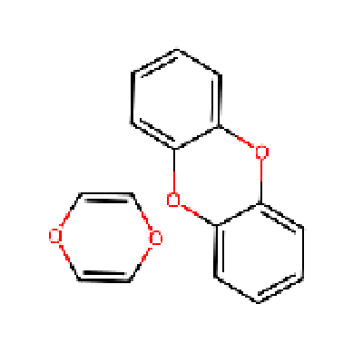 C1=COC=CO1.c1ccc2c(c1)Oc1ccccc1O2